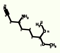 COC(CCCC(N)CC#N)OC